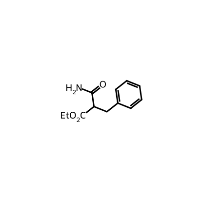 CCOC(=O)C(Cc1ccccc1)C(N)=O